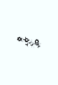 Cc1cc(Nc2ncc(Cl)c(Nc3ccccc3S(=O)(=O)C(C)C)n2)c(OC(C)C)cc1-c1nc2ccccc2[nH]1